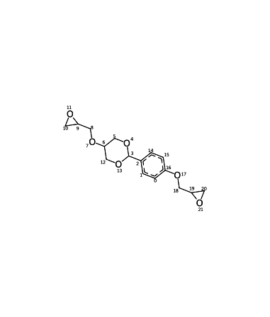 c1cc(C2OCC(OCC3CO3)CO2)ccc1OCC1CO1